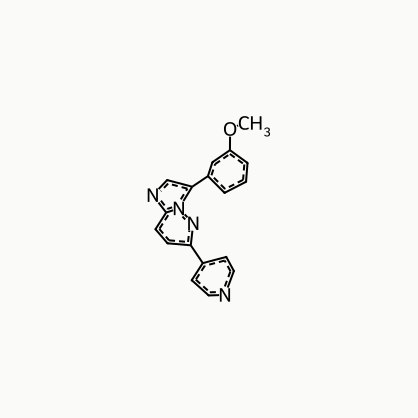 COc1cccc(-c2cnc3ccc(-c4ccncc4)nn23)c1